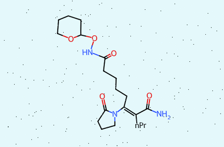 CCCC(C(N)=O)=C(CCCCC(=O)NOC1CCCCO1)N1CCCC1=O